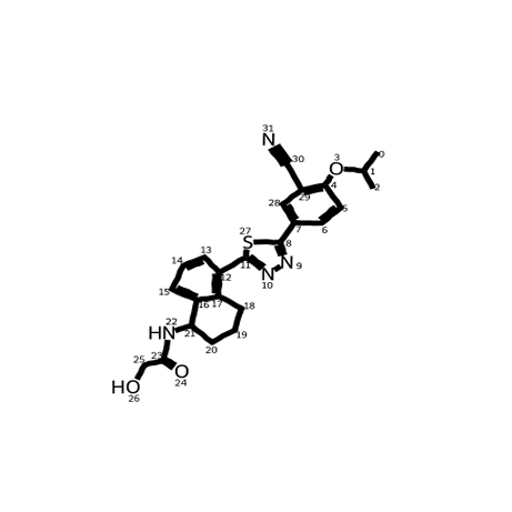 CC(C)Oc1ccc(-c2nnc(-c3cccc4c3CCCC4NC(=O)CO)s2)cc1C#N